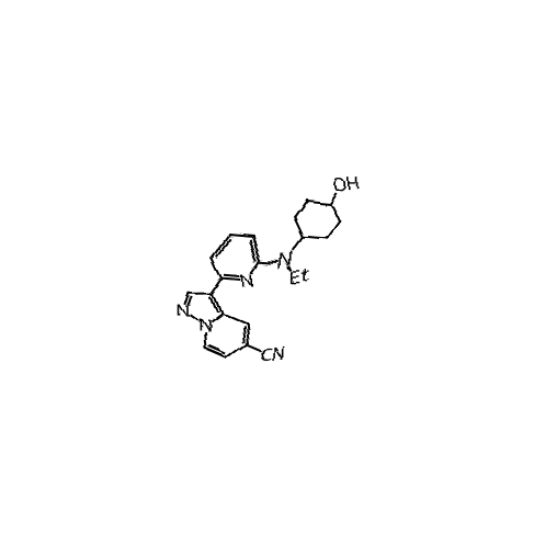 CCN(c1cccc(-c2cnn3ccc(C#N)cc23)n1)C1CCC(O)CC1